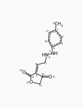 Cc1ccc(NNCC=C2C(=O)COC2=O)cc1